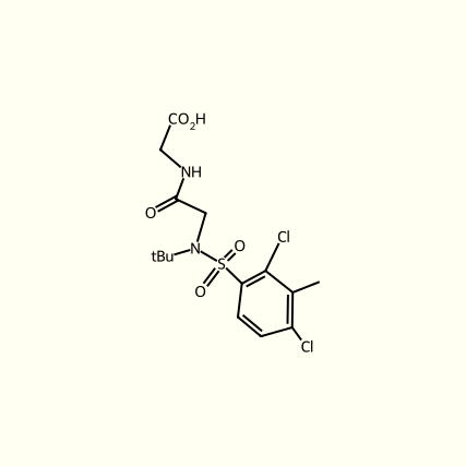 Cc1c(Cl)ccc(S(=O)(=O)N(CC(=O)NCC(=O)O)C(C)(C)C)c1Cl